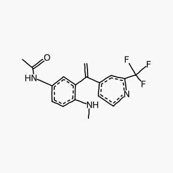 C=C(c1ccnc(C(F)(F)F)c1)c1cc(NC(C)=O)ccc1NC